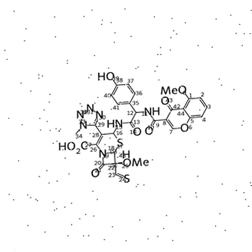 COc1cccc2occ(C(=O)NC(C(=O)NC3S[C@@H]4N(C(=O)[C@]4(C=S)OC)C(C(=O)O)=C3c3nnnn3C)c3ccc(O)cc3)c(=O)c12